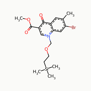 COC(=O)c1cn(COCC[Si](C)(C)C)c2cc(Br)c(C)cc2c1=O